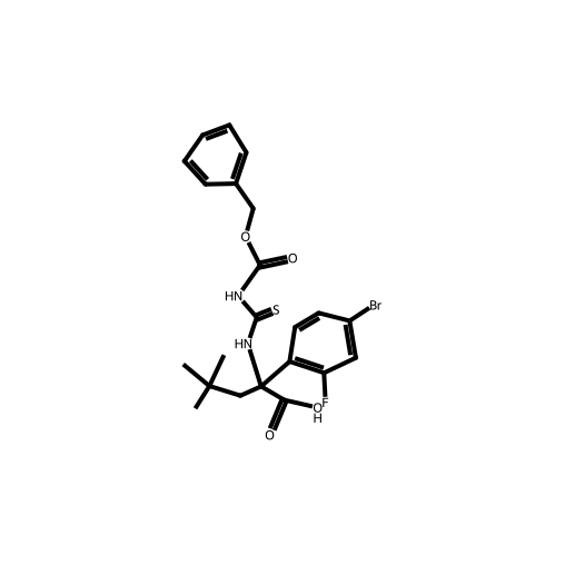 CC(C)(C)CC(NC(=S)NC(=O)OCc1ccccc1)(C(=O)O)c1ccc(Br)cc1F